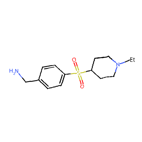 CCN1CCC(S(=O)(=O)c2ccc(CN)cc2)CC1